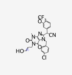 Cn1c(=O)n(C/C=C/O)c(=O)c2c1nc(C(C#N)c1cccc(OC(F)(F)F)c1)n2Cc1ccc(Cl)cc1